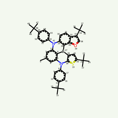 Cc1cc2c3c(c1)N(c1ccc(C(C)(C)C)cc1)c1sc(C(C)(C)C)cc1B3c1c(ccc3c(C(C)(C)C)coc13)N2c1ccc(C(C)(C)C)cc1